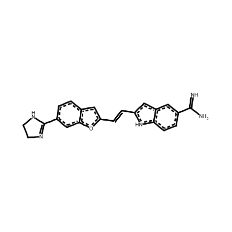 N=C(N)c1ccc2[nH]c(/C=C/c3cc4ccc(C5=NCCN5)cc4o3)cc2c1